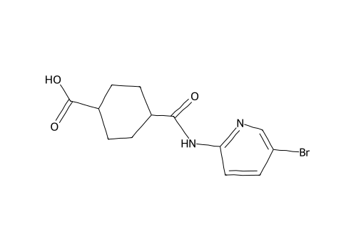 O=C(O)C1CCC(C(=O)Nc2ccc(Br)cn2)CC1